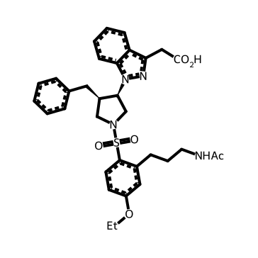 CCOc1ccc(S(=O)(=O)N2C[C@@H](Cc3ccccc3)[C@@H](n3nc(CC(=O)O)c4ccccc43)C2)c(CCCNC(C)=O)c1